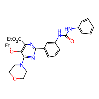 CCOC(=O)c1nc(-c2cccc(NC(=O)Nc3ccccc3)c2)nc(N2CCOCC2)c1OCC